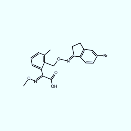 CO/N=C(/C(=O)O)c1cccc(C)c1CO/N=C1\CCc2cc(Br)ccc21